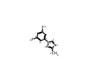 Cc1ncn(-c2cc(F)cc(F)c2)n1